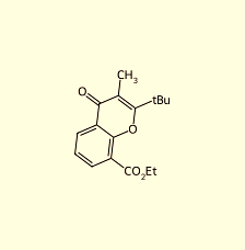 CCOC(=O)c1cccc2c(=O)c(C)c(C(C)(C)C)oc12